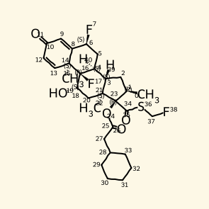 C[C@@H]1C[C@H]2[C@@H]3C[C@H](F)C4=CC(=O)C=C[C@]4(C)[C@@]3(F)[C@@H](O)C[C@]2(C)[C@@]1(OC(=O)CC1CCCCC1)C(=O)SCF